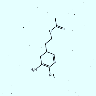 CC(=O)OCCC1C=CC(N)=C(N)C1